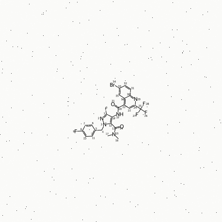 Cc1nn(Cc2ccc(F)cc2)c(C(=O)N(C)C)c1NC(=O)c1cc(C(F)(F)F)nc2ccc(Br)cc12